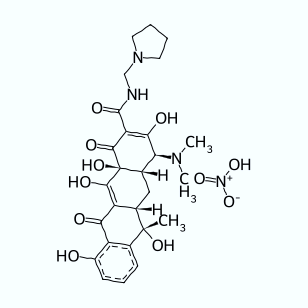 CN(C)[C@@H]1C(O)=C(C(=O)NCN2CCCC2)C(=O)[C@@]2(O)C(O)=C3C(=O)c4c(O)cccc4[C@@](C)(O)[C@H]3C[C@@H]12.O=[N+]([O-])O